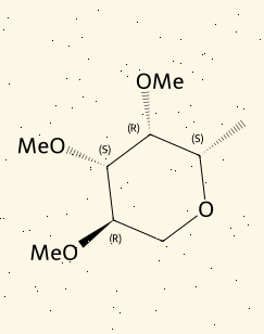 CO[C@@H]1[C@H](OC)[C@H](C)OC[C@H]1OC